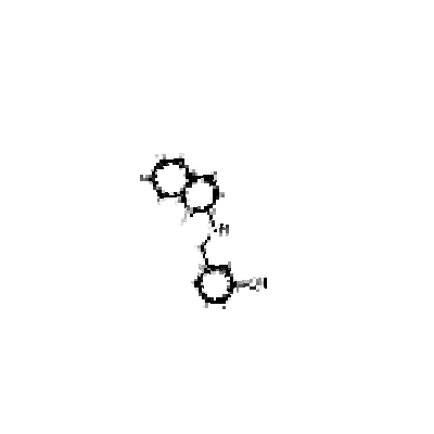 Oc1cccc(CNc2ccc3ccccc3n2)c1